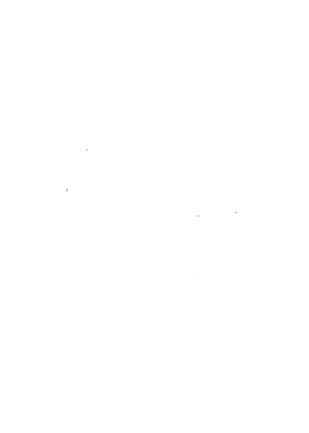 CCCCC/C=C\C/C=C\CCCCCCCCC(CCO[Si](C)(C)C(C)(C)C)OC(=O)OCCCN(CC)CC